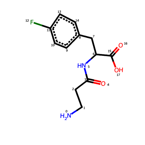 NCCC(=O)NC(Cc1ccc(F)cc1)C(=O)O